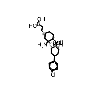 Cl.Cl.N[C@]1(C(=O)O)C[C@H](CCB(O)O)CC[C@H]1CN1CCC(c2ccc(Cl)cc2)CC1